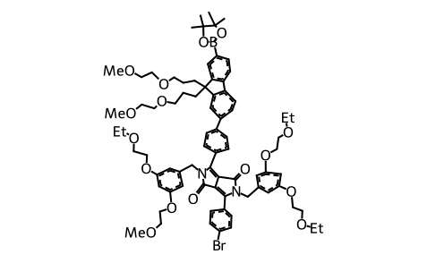 CCOCCOc1cc(CN2C(=O)C3=C(c4ccc(Br)cc4)N(Cc4cc(OCCOCC)cc(OCCOCC)c4)C(=O)C3=C2c2ccc(-c3ccc4c(c3)C(CCCOCCOC)(CCCOCCOC)c3cc(B5OC(C)(C)C(C)(C)O5)ccc3-4)cc2)cc(OCCOC)c1